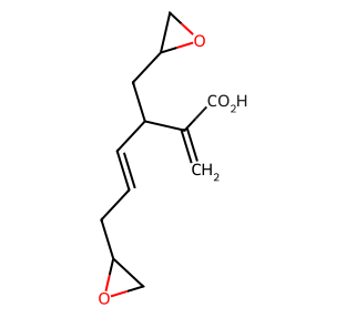 C=C(C(=O)O)C(C=CCC1CO1)CC1CO1